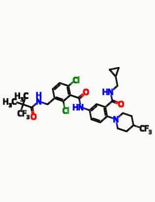 CC(C)(C(=O)NCc1ccc(Cl)c(C(=O)Nc2ccc(N3CCC(C(F)(F)F)CC3)c(C(=O)NCC3CC3)c2)c1Cl)C(F)(F)F